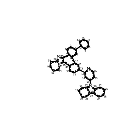 c1ccc(-c2ccc3c(c2)c2cc(-c4cc(-n5c6ccccc6c6ccccc65)ccn4)ccc2c2c3nc3ccccn32)cc1